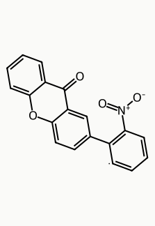 O=c1c2ccccc2oc2ccc(-c3[c]cccc3[N+](=O)[O-])cc12